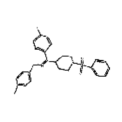 O=S(=O)(c1ccccc1)N1CCC(/C(=N/Cc2ccc(F)cc2)c2ccc(F)cc2)CC1